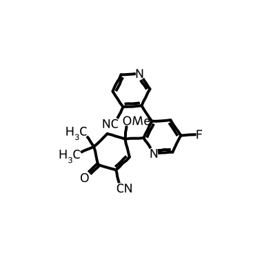 COC1(c2ncc(F)cc2-c2cnccc2C#N)C=C(C#N)C(=O)C(C)(C)C1